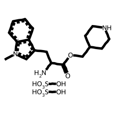 Cn1cc(CC(N)C(=O)OCC2CCNCC2)c2ccccc21.O=S(=O)(O)O.O=S(=O)(O)O